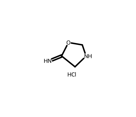 Cl.N=C1CNCO1